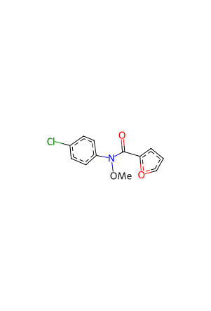 CON(C(=O)c1ccco1)c1ccc(Cl)cc1